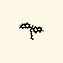 [CH2]CCCCCC(C)(c1ccc2ccccc2c1)c1ccc2ccccc2c1